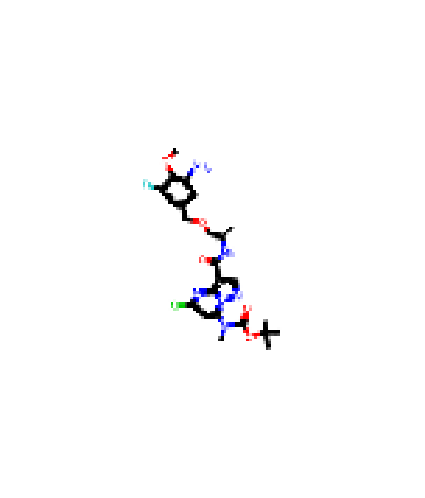 COc1c(N)cc(COC[C@@H](C)NC(=O)c2cnn3c(N(C)C(=O)OC(C)(C)C)cc(Cl)nc23)cc1F